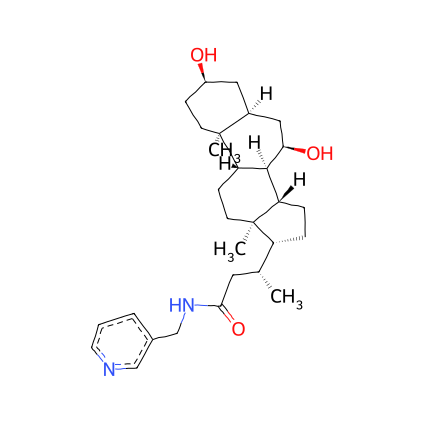 C[C@H](CC(=O)NCc1cccnc1)[C@H]1CC[C@H]2[C@@H]3[C@H](O)C[C@@H]4C[C@H](O)CC[C@]4(C)[C@H]3CC[C@]12C